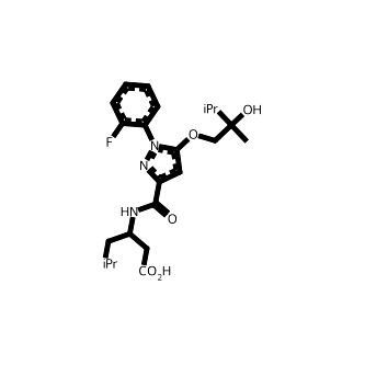 CC(C)CC(CC(=O)O)NC(=O)c1cc(OCC(C)(O)C(C)C)n(-c2ccccc2F)n1